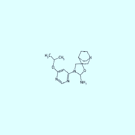 CC(C)Oc1cc(N2CC3(CN4CCC3CC4)OC2N)ncn1